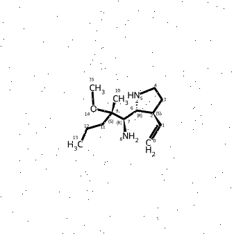 C=C[C@@H]1CCN[C@H]1[C@@H](N)[C@](C)(CCC)OC